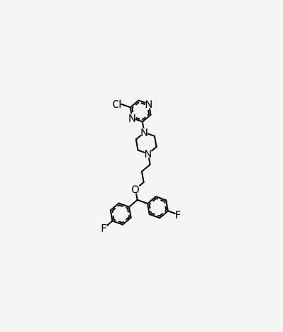 Fc1ccc(C(OCCCN2CCN(c3cncc(Cl)n3)CC2)c2ccc(F)cc2)cc1